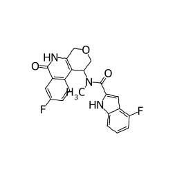 CN(C(=O)c1cc2c(F)cccc2[nH]1)C1COCc2[nH]c(=O)c3cc(F)ccc3c21